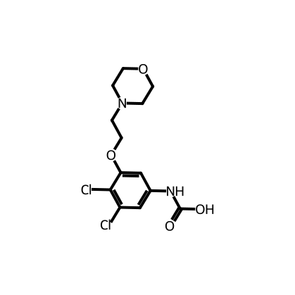 O=C(O)Nc1cc(Cl)c(Cl)c(OCCN2CCOCC2)c1